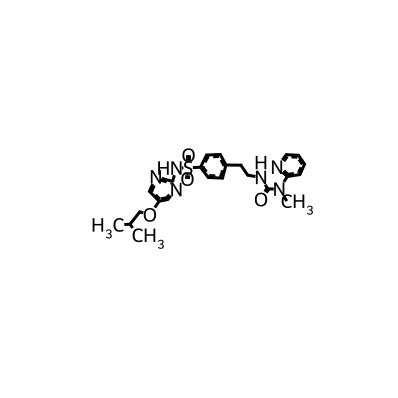 CC(C)COc1cnc(NS(=O)(=O)c2ccc(CCNC(=O)N(C)c3ccccn3)cc2)nc1